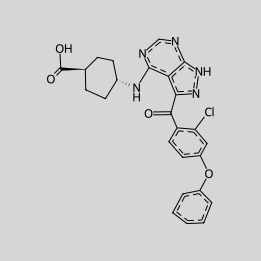 O=C(c1ccc(Oc2ccccc2)cc1Cl)c1n[nH]c2ncnc(N[C@H]3CC[C@H](C(=O)O)CC3)c12